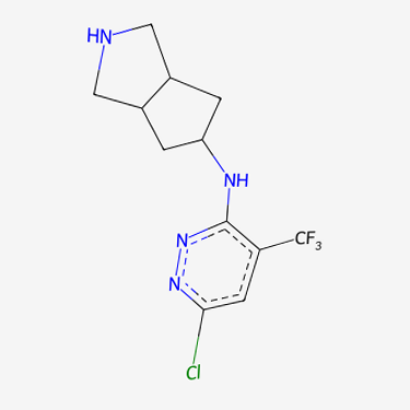 FC(F)(F)c1cc(Cl)nnc1NC1CC2CNCC2C1